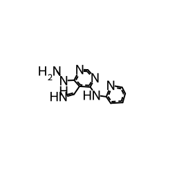 N=Cc1c(NN)ncnc1Nc1ccccn1